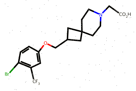 O=C(O)CN1CCC2(CC1)CC(COc1ccc(Br)c(C(F)(F)F)c1)C2